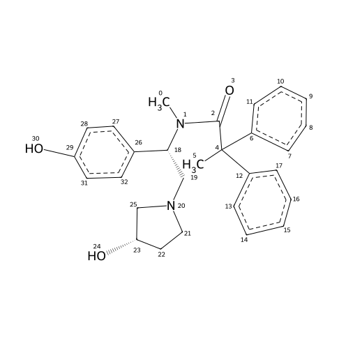 CN(C(=O)C(C)(c1ccccc1)c1ccccc1)[C@H](CN1CC[C@H](O)C1)c1ccc(O)cc1